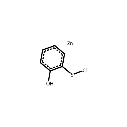 Oc1ccccc1SCl.[Zn]